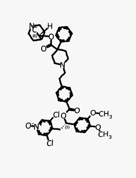 COc1ccc([C@H](Cc2c(Cl)c[n+]([O-])cc2Cl)OC(=O)c2ccc(CCN3CCC(C(=O)O[C@H]4CN5CCC4CC5)(c4ccccc4)CC3)cc2)cc1OC